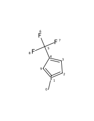 CI1=CC=C(C(F)(F)F)C=1